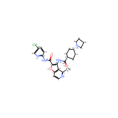 N#Cc1nccc2oc(C(=O)Nc3ccc(Cl)cn3)c(NC(=O)[C@H]3CC[C@H](N4CCCC4)CC3)c12